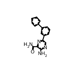 NC(=O)c1nc(-c2cccc(-c3ccccc3)c2)cnc1N